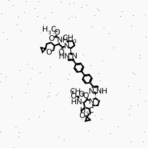 COC(=O)NC(C(=O)N1[C@@H](C)CC[C@H]1c1nc(-c2ccc(-c3ccc(-c4c[nH]c([C@@H]5CC[C@H](C)N5C(=O)[C@@H](NC(=O)OC)C5CCC6(CC6)OC5)n4)cc3)cc2)c[nH]1)C1CCC2(CC2)OC1